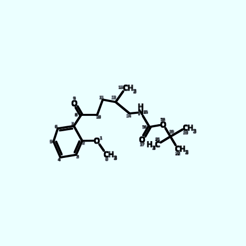 COc1ccccc1C(=O)CCC(C)CNC(=O)OC(C)(C)C